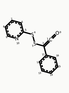 O=C=C(SSc1ccccn1)c1ccccc1